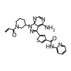 C=CC(=O)N1CCCC(n2nc(-c3cc(C(=O)Nc4ccccn4)cs3)c3c(N)ncnc32)C1